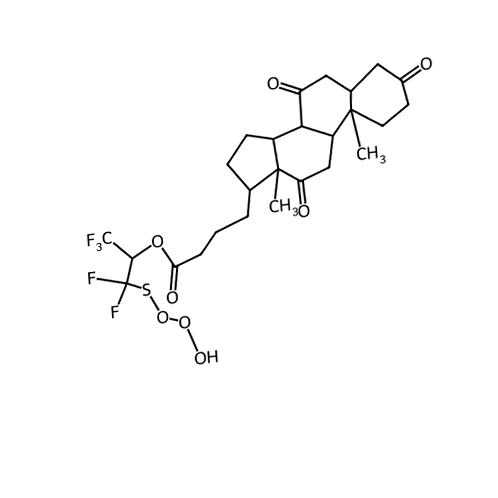 CC12CCC(=O)CC1CC(=O)C1C2CC(=O)C2(C)C(CCCC(=O)OC(C(F)(F)F)C(F)(F)SOOO)CCC12